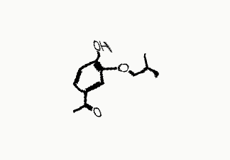 CC(=O)c1ccc(O)c(OCC(C)C)c1